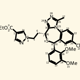 CCOC(=O)c1cnn(CC[C@H]2S[C@H](c3cccc(OC)c3OC)c3cc(Cl)ccc3-n3c(C)nnc32)c1